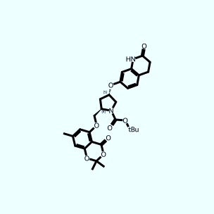 Cc1cc(OC[C@H]2C[C@H](Oc3ccc4c(c3)NC(=O)CC4)CN2C(=O)OC(C)(C)C)c2c(c1)OC(C)(C)OC2=O